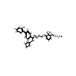 Cc1c(CC(=O)O)cccc1OCCO/N=C(\CC1CCCC1)c1ccc(-c2ccccc2)cc1